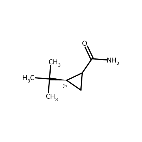 CC(C)(C)[C@@H]1CC1C(N)=O